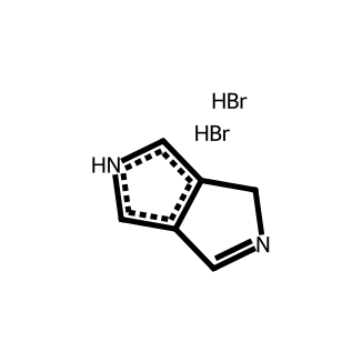 Br.Br.C1=NCc2c[nH]cc21